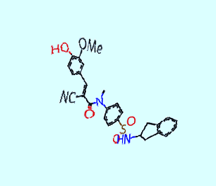 COc1cc(C=C(C#N)C(=O)N(C)c2ccc(S(=O)(=O)NC3Cc4ccccc4C3)cc2)ccc1O